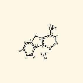 CCCc1cccc2c1Cc1ccccc1-2.F